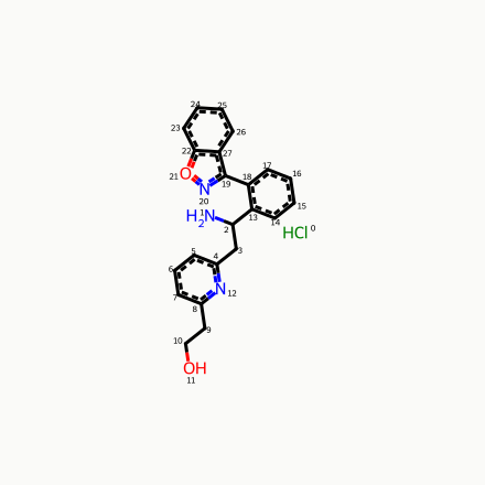 Cl.NC(Cc1cccc(CCO)n1)c1ccccc1-c1noc2ccccc12